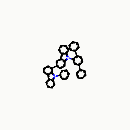 c1ccc(-c2ccc(-c3ccccc3)c(-n3c4ccccc4c4cc(-c5cccc6c7ccccc7n(-c7ccccc7)c56)ccc43)c2)cc1